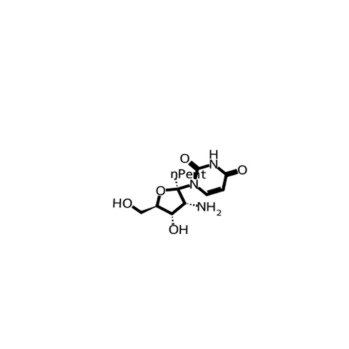 CCCCC[C@@]1(n2ccc(=O)[nH]c2=O)O[C@H](CO)[C@@H](O)[C@H]1N